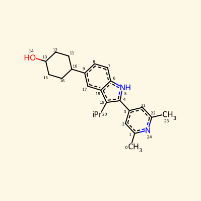 Cc1cc(-c2[nH]c3ccc(C4CCC(O)CC4)cc3c2C(C)C)cc(C)n1